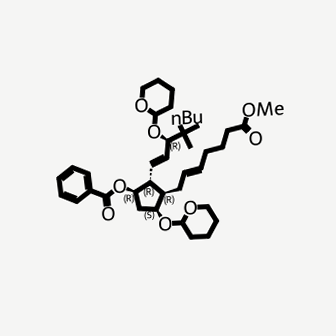 CCCCC(C)(C)[C@@H](C=C[C@@H]1[C@@H](CC=CCCCC(=O)OC)[C@@H](OC2CCCCO2)C[C@H]1OC(=O)c1ccccc1)OC1CCCCO1